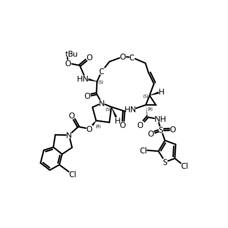 CC(C)(C)OC(=O)N[C@H]1CCOCCC=C[C@@H]2C[C@@]2(C(=O)NS(=O)(=O)c2cc(Cl)sc2Cl)NC(=O)[C@@H]2C[C@@H](OC(=O)N3Cc4cccc(Cl)c4C3)CN2C1=O